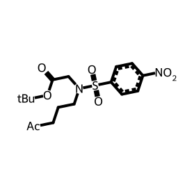 CC(=O)CCCN(CC(=O)OC(C)(C)C)S(=O)(=O)c1ccc([N+](=O)[O-])cc1